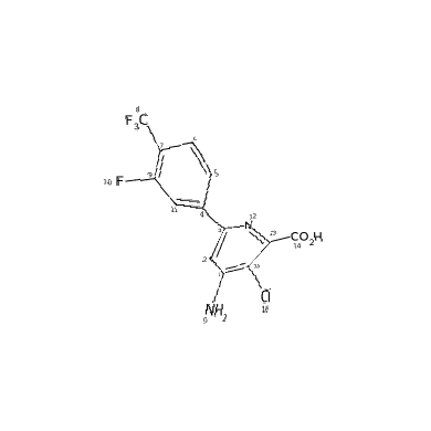 Nc1cc(-c2ccc(C(F)(F)F)c(F)c2)nc(C(=O)O)c1Cl